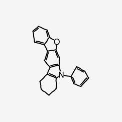 c1ccc(-n2c3c(c4cc5c(cc42)oc2ccccc25)CCCC3)cc1